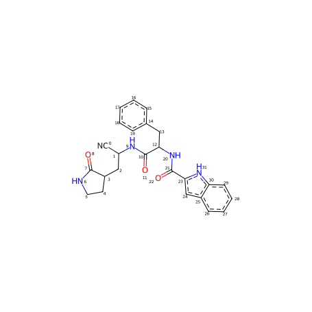 N#CC(CC1CCNC1=O)NC(=O)C(Cc1ccccc1)NC(=O)c1cc2ccccc2[nH]1